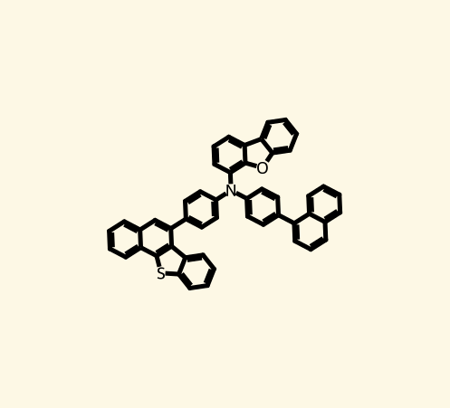 c1ccc2c(-c3ccc(N(c4ccc(-c5cc6ccccc6c6sc7ccccc7c56)cc4)c4cccc5c4oc4ccccc45)cc3)cccc2c1